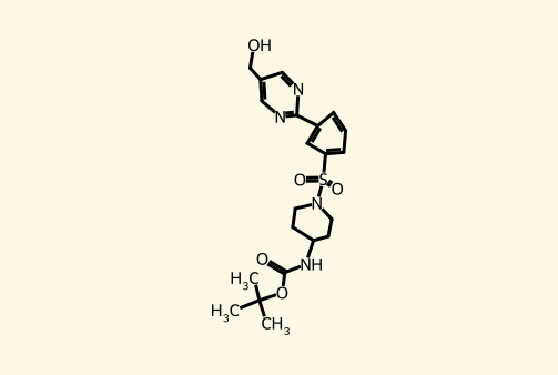 CC(C)(C)OC(=O)NC1CCN(S(=O)(=O)c2cccc(-c3ncc(CO)cn3)c2)CC1